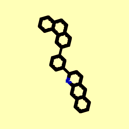 c1cc(-c2ccc3ccc4ccccc4c3c2)cc(-c2ccc3cc4ccccc4cc3n2)c1